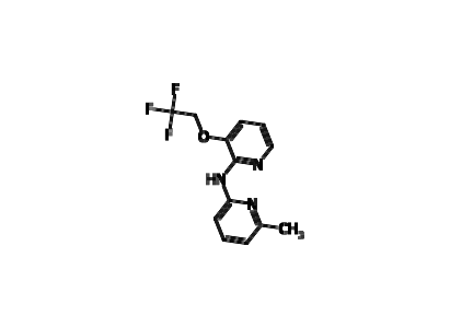 Cc1cccc(Nc2ncccc2OCC(F)(F)F)n1